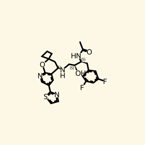 CC(=O)N[C@@H](Cc1cc(F)cc(F)c1)[C@@H](O)CN[C@H]1CC2(CCC2)Oc2ncc(-c3nccs3)cc21